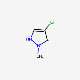 CN1[CH]C(Cl)=CN1